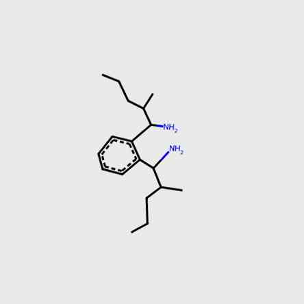 CCCC(C)C(N)c1ccccc1C(N)C(C)CCC